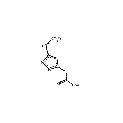 CCOC(=O)Nc1nnc(SC(=O)OC)s1